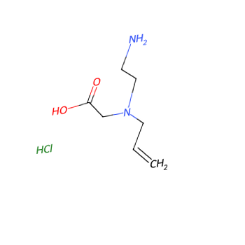 C=CCN(CCN)CC(=O)O.Cl